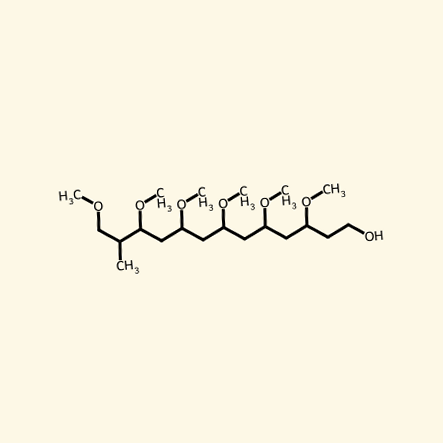 COCC(C)C(CC(CC(CC(CC(CCO)OC)OC)OC)OC)OC